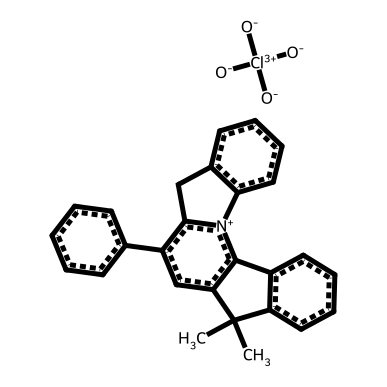 CC1(C)c2ccccc2-c2c1cc(-c1ccccc1)c1[n+]2-c2ccccc2C1.[O-][Cl+3]([O-])([O-])[O-]